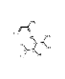 C=CC(N)=O.C[C@H](O)[C@H](O)[C@@H](O)[C@@H](O)C=O